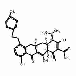 Cc1ccc(CCc2ccc(O)c3c2C[C@H]2C[C@H]4[C@@H](N(C)C)C(O)=C(C(N)=O)C(=O)[C@]4(O)C(O)=C2C3=O)cc1